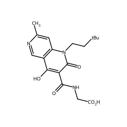 Cc1cc2c(cn1)c(O)c(C(=O)NCC(=O)O)c(=O)n2CCC(C)(C)C